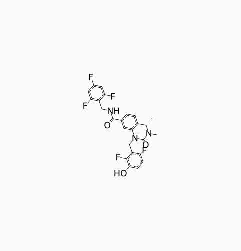 C[C@H]1c2ccc(C(=O)NCc3c(F)cc(F)cc3F)cc2N(Cc2c(F)ccc(O)c2F)C(=O)N1C